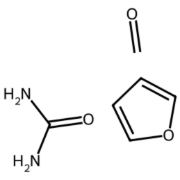 C=O.NC(N)=O.c1ccoc1